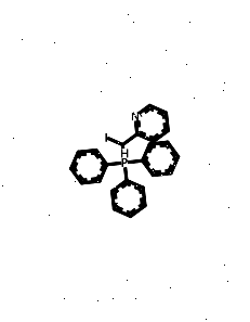 IC(c1ccccn1)[PH](c1ccccc1)(c1ccccc1)c1ccccc1